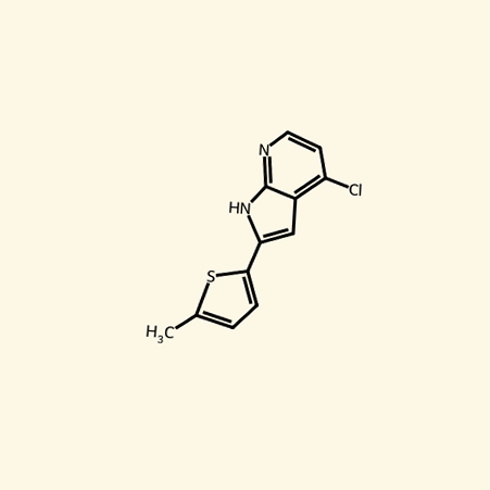 Cc1ccc(-c2cc3c(Cl)ccnc3[nH]2)s1